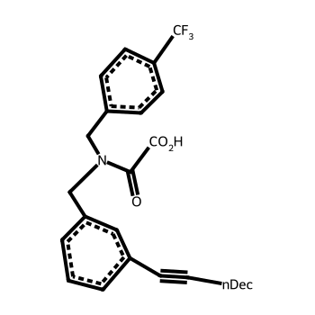 CCCCCCCCCCC#Cc1cccc(CN(Cc2ccc(C(F)(F)F)cc2)C(=O)C(=O)O)c1